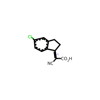 N#C/C(C(=O)O)=C1/CCc2cc(Cl)ccc21